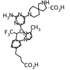 Cc1ccn(-c2cc(CCCC(=O)O)ccc2C(Oc2cc(N3CCC4(CC3)CN[C@H](C(=O)O)C4)nc(N)n2)C(F)(F)F)n1